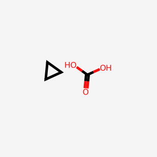 C1CC1.O=C(O)O